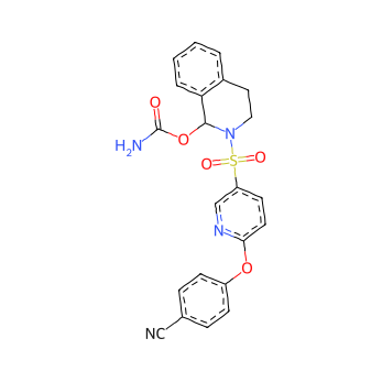 N#Cc1ccc(Oc2ccc(S(=O)(=O)N3CCc4ccccc4C3OC(N)=O)cn2)cc1